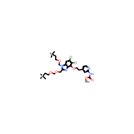 CC(C)(C)OC(=O)Nc1cc(CCOc2c(Cl)c(Cl)cc3c2nc(COCOCC[Si](C)(C)C)n3COCC[Si](C)(C)C)ccn1